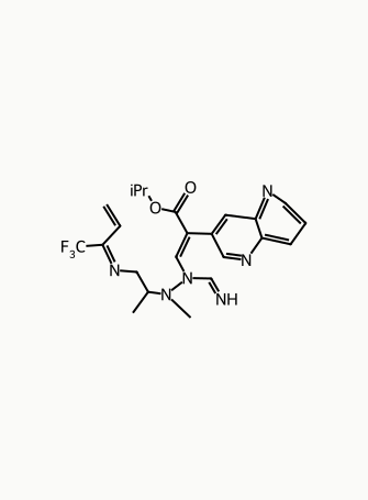 C=C/C(=N\CC(C)N(C)N(C=N)/C=C(/C(=O)OC(C)C)c1cnc2cccnc2c1)C(F)(F)F